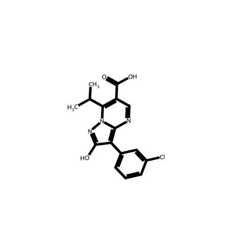 CC(C)c1c(C(=O)O)cnc2c(-c3cccc(Cl)c3)c(O)nn12